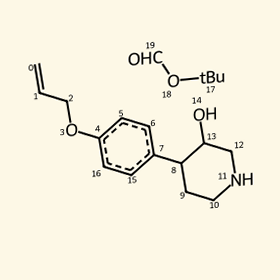 C=CCOc1ccc(C2CCNCC2O)cc1.CC(C)(C)OC=O